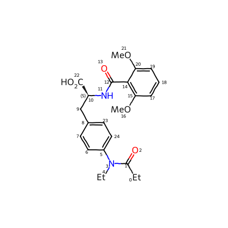 CCC(=O)N(CC)c1ccc(C[C@H](NC(=O)c2c(OC)cccc2OC)C(=O)O)cc1